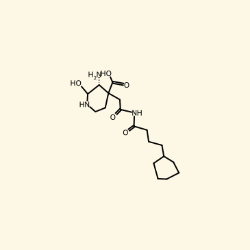 N[C@H]1C(O)NCCC1(CC(=O)NC(=O)CCCC1CCCCC1)C(=O)O